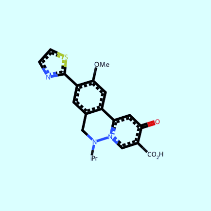 COc1cc2c(cc1-c1nccs1)CN(C(C)C)n1cc(C(=O)O)c(=O)cc1-2